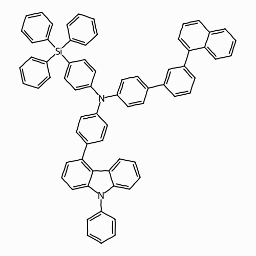 c1ccc(-n2c3ccccc3c3c(-c4ccc(N(c5ccc(-c6cccc(-c7cccc8ccccc78)c6)cc5)c5ccc([Si](c6ccccc6)(c6ccccc6)c6ccccc6)cc5)cc4)cccc32)cc1